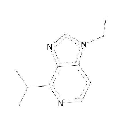 CCn1cnc2c(C(C)C)nccc21